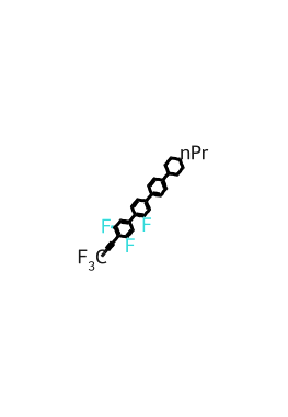 CCCC1CCC(c2ccc(-c3ccc(-c4cc(F)c(C#CC(F)(F)F)c(F)c4)c(F)c3)cc2)CC1